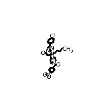 CCCCCn1c(N2CCN(C(=O)c3ccc([N+](=O)[O-])cc3)CC2)cc(=O)n2cc(-c3ccc(Cl)cc3)nc12